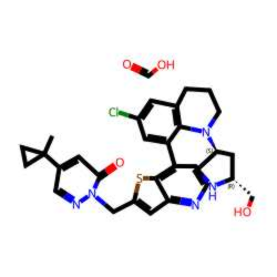 CC1(c2cnn(Cc3cc4nccc(-c5cc(Cl)cc6c5N([C@@H]5CN[C@@H](CO)C5)CCC6)c4s3)c(=O)c2)CC1.O=CO